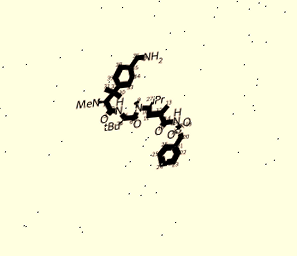 CN[C@H](C(=O)N[C@H](C(=O)N(C)[C@H](/C=C(\C)C(=O)NS(=O)(=O)Cc1ccccc1)C(C)C)C(C)(C)C)C(C)(C)C1=CCC(CN)C=C1